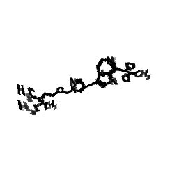 C[Si](C)(C)CCOCn1cc(-c2cnc3c(S(C)(=O)=O)nccn23)cn1